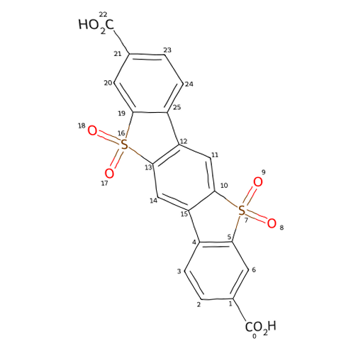 O=C(O)c1ccc2c(c1)S(=O)(=O)c1cc3c(cc1-2)S(=O)(=O)c1cc(C(=O)O)ccc1-3